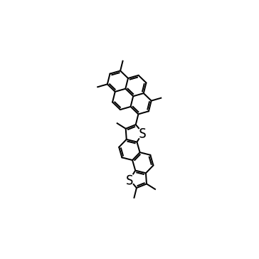 Cc1sc2c(ccc3c2ccc2c(C)c(-c4cc(C)c5ccc6c(C)cc(C)c7ccc4c5c67)sc23)c1C